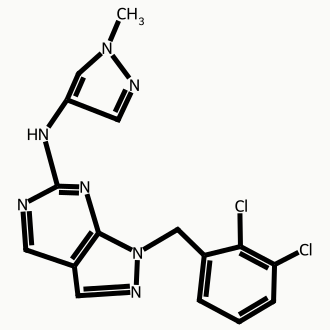 Cn1cc(Nc2ncc3cnn(Cc4cccc(Cl)c4Cl)c3n2)cn1